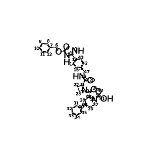 N=C(NC(=O)OCc1ccccc1)c1ccc(CNC(=O)C2CCN2C(=O)[C@H]2C[C@@H](c3ccccc3)CCN2C(=O)O)cc1